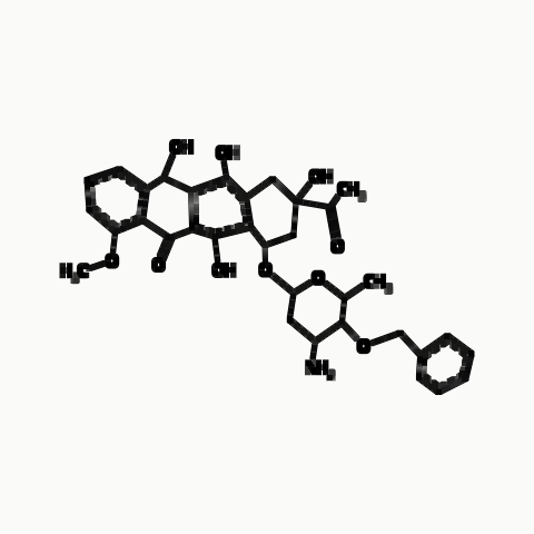 COc1cccc2c1C(=O)c1c(O)c3c(c(O)c1C2O)CC(O)(C(C)=O)CC3OC1CC(N)C(OCc2ccccc2)C(C)O1